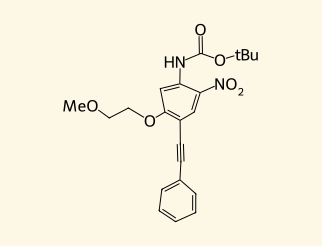 COCCOc1cc(NC(=O)OC(C)(C)C)c([N+](=O)[O-])cc1C#Cc1ccccc1